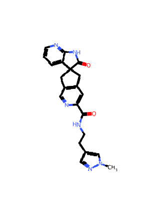 Cn1cc(CCNC(=O)c2cc3c(cn2)CC2(C3)C(=O)Nc3ncccc32)cn1